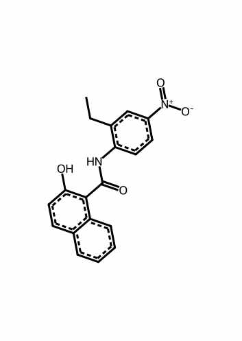 CCc1cc([N+](=O)[O-])ccc1NC(=O)c1c(O)ccc2ccccc12